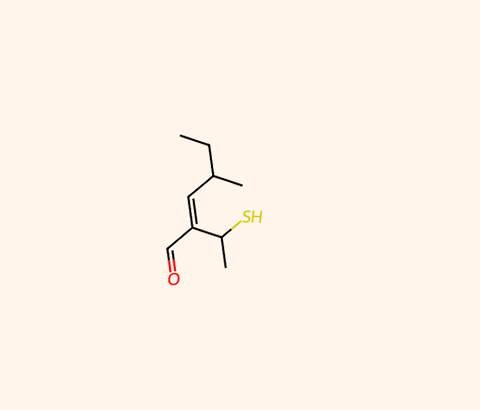 CCC(C)C=C(C=O)C(C)S